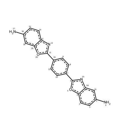 Nc1ccc2oc(-c3ccc(-c4nc5ccc(N)cc5o4)cc3)nc2c1